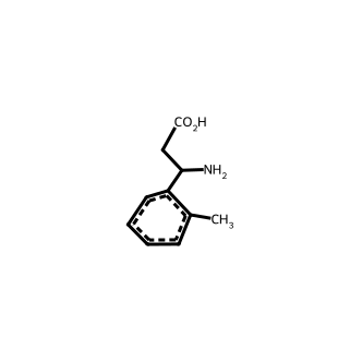 Cc1ccccc1C(N)CC(=O)O